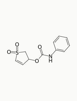 O=C(Nc1ccccc1)OC1C=CS(=O)(=O)C1